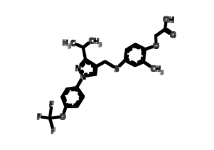 Cc1cc(SCc2cn(-c3ccc(OC(F)(F)F)cc3)nc2C(C)C)ccc1OCC(=O)O